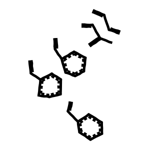 C=CC(=C)C.C=CC=C.C=Cc1ccccc1.C=Cc1ccccc1.C=Cc1ccccc1